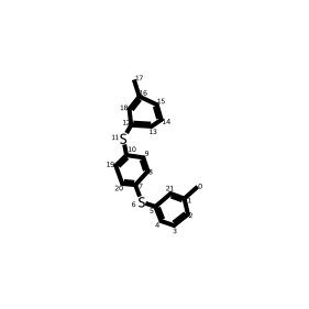 Cc1cccc(Sc2ccc(Sc3cccc(C)c3)cc2)c1